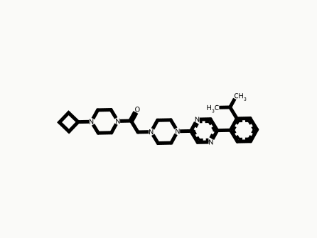 CC(C)c1ccccc1-c1cnc(N2CCN(CC(=O)N3CCN(C4CCC4)CC3)CC2)cn1